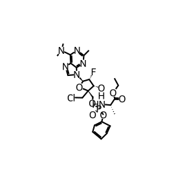 CCOC(=O)[C@H](C)NP(=O)(OC[C@@]1(CCl)O[C@@H](n2cnc3c(N(C)C)nc(C)nc32)[C@H](F)[C@@H]1O)Oc1ccccc1